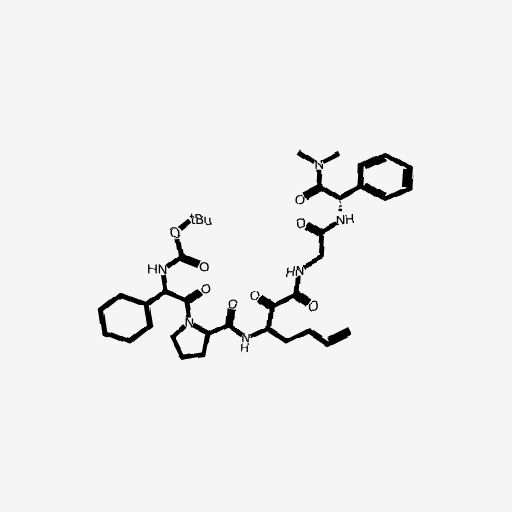 C=CCCC(NC(=O)C1CCCN1C(=O)C(NC(=O)OC(C)(C)C)C1CCCCC1)C(=O)C(=O)NCC(=O)N[C@H](C(=O)N(C)C)c1ccccc1